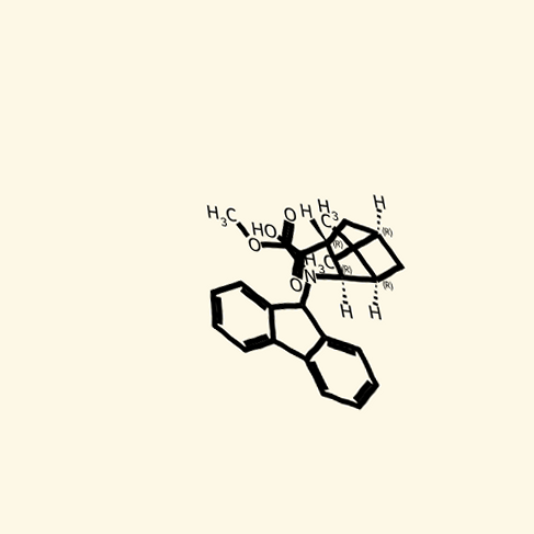 COC(=O)N(C1c2ccccc2-c2ccccc21)[C@H]1[C@H](C(=O)O)C[C@H]2C[C@@H]1C2(C)C